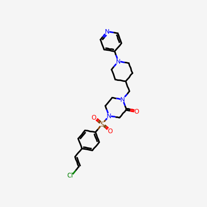 O=C1CN(S(=O)(=O)c2ccc(/C=C/Cl)cc2)CCN1CC1CCN(c2ccncc2)CC1